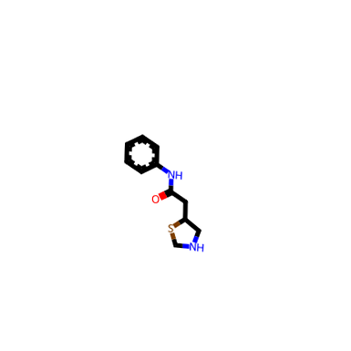 O=C(CC1CNCS1)Nc1ccccc1